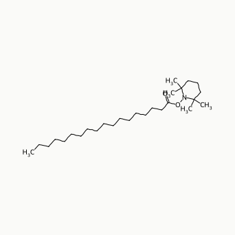 CCCCCCCCCCCCCCCCCC(=O)ON1C(C)(C)CCCC1(C)C